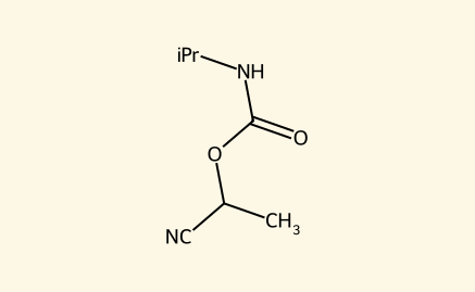 CC(C)NC(=O)OC(C)C#N